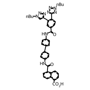 CCCCn1cc(-c2cc(C(=O)Nc3ccc(-c4ccc(NC(=O)c5cccc6c(C(=O)O)cccc56)cc4)cc3)ccc2-c2nnn(CCCC)n2)nn1